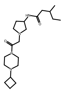 CCC(C)CC(=O)NC1CCN(CC(=O)N2CCN(C3CCC3)CC2)C1